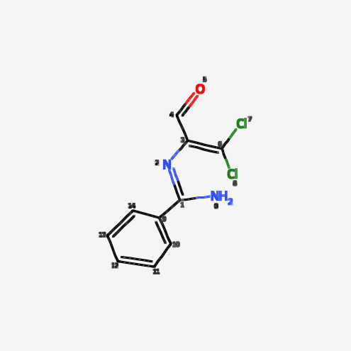 N/C(=N\C(C=O)=C(Cl)Cl)c1ccccc1